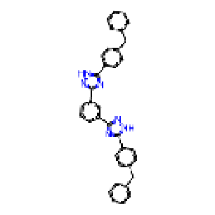 c1ccc(Cc2ccc(-c3nc(-c4cccc(-c5n[nH]c(-c6ccc(Cc7ccccc7)cc6)n5)c4)n[nH]3)cc2)cc1